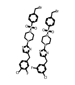 O=S(=O)(c1ccc(CBr)cc1)N1CCN(c2nc(Cc3cc(F)cc(Cl)c3)cs2)CC1.O=S(=O)(c1ccc(CBr)cc1)N1CCN(c2nc(Cc3ccc(Cl)c(F)c3)cs2)CC1